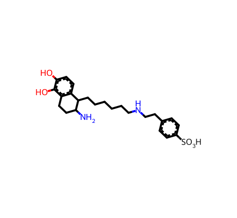 NC1CCc2c(ccc(O)c2O)C1CCCCCCNCCc1ccc(S(=O)(=O)O)cc1